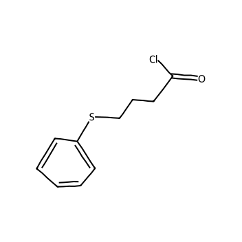 O=C(Cl)CCCSc1ccccc1